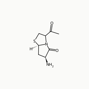 CC(=O)C1CS[C@@H]2C[C@H](N)C(=O)N12